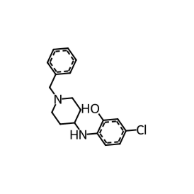 Oc1cc(Cl)ccc1NC1CCN(Cc2ccccc2)CC1